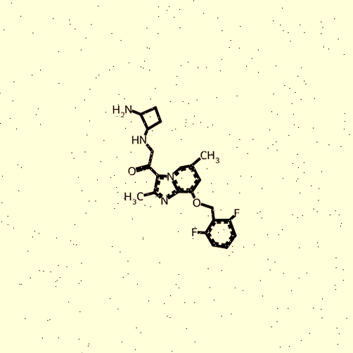 Cc1cc(OCc2c(F)cccc2F)c2nc(C)c(C(=O)CNC3CCC3N)n2c1